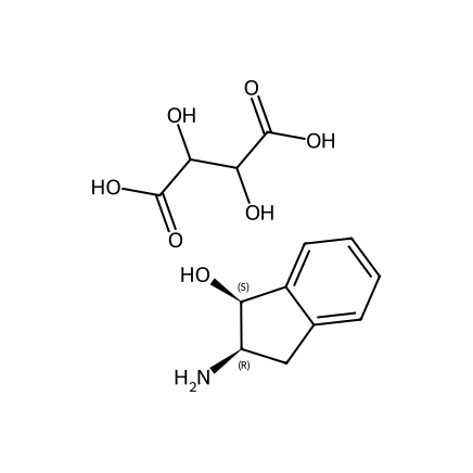 N[C@@H]1Cc2ccccc2[C@@H]1O.O=C(O)C(O)C(O)C(=O)O